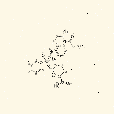 COC(=O)N1c2ccc3c(nc(S(=O)(=O)c4ccccc4)n3[C@H]3CC[C@H](C(=O)O)CC3)c2CC[C@@H]1C